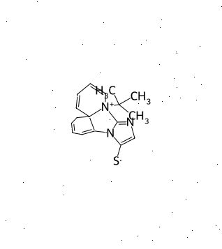 CC(C)(C)[N+]12C=CC=CC13CC=CC=C3n1c([S])cnc12